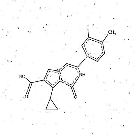 Cc1ccc(-c2cn3cc(C(=O)O)c(C4CC4)c3c(=O)[nH]2)cc1F